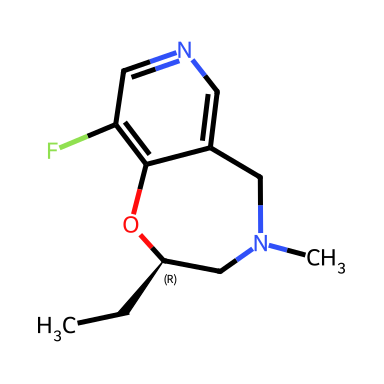 CC[C@@H]1CN(C)Cc2cncc(F)c2O1